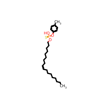 CCCCCCCC/C=C\CCCCCCCCOP(O)(=S)Oc1ccc(C)cc1